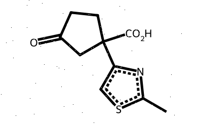 Cc1nc(C2(C(=O)O)CCC(=O)C2)cs1